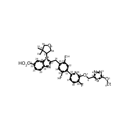 CCOc1nnc(COc2nc(-c3cc(F)c(Cc4nc5ccc(C(=O)O)cc5n4C4COCC4(C)C)cc3F)ccc2F)s1